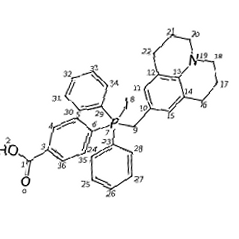 O=C(O)c1ccc(P(I)(Cc2cc3c4c(c2)CCCN4CCC3)(c2ccccc2)c2ccccc2)cc1